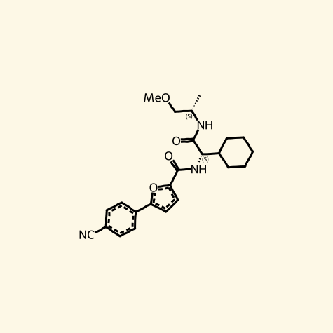 COC[C@H](C)NC(=O)[C@@H](NC(=O)c1ccc(-c2ccc(C#N)cc2)o1)C1CCCCC1